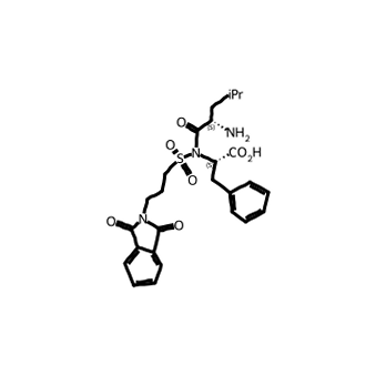 CC(C)C[C@H](N)C(=O)N([C@@H](Cc1ccccc1)C(=O)O)S(=O)(=O)CCCN1C(=O)c2ccccc2C1=O